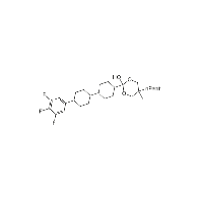 CCCCCC1(C)COC(O)(C2CCC(C3CCC(c4cc(F)c(F)c(F)c4)CC3)CC2)OC1